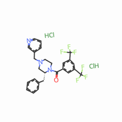 Cl.Cl.O=C(c1cc(C(F)(F)F)cc(C(F)(F)F)c1)N1CCN(Cc2cccnc2)C[C@H]1Cc1ccccc1